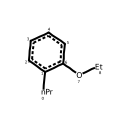 CCCc1[c]cccc1OCC